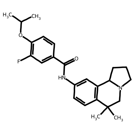 CC(C)Oc1ccc(C(=O)Nc2ccc3c(c2)C2CCCN2CC3(C)C)cc1F